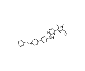 CC1=C(c2ccnc(Nc3ccc(N4CCN(CCc5ccccc5)CC4)cc3)n2)SC(C=O)N1C